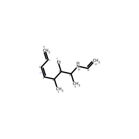 C=C/C=C\C(C)C(CC)C(C)NC=C